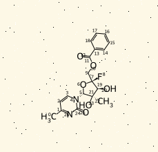 Cc1ccn([C@@H]2O[C@](F)(COC(=O)c3ccccc3)[C@@H](O)[C@@]2(C)O)c(=O)n1